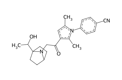 Cc1cc(C(=O)CN2C3CCC2(C(C)O)CC3)c(C)n1-c1ccc(C#N)cc1